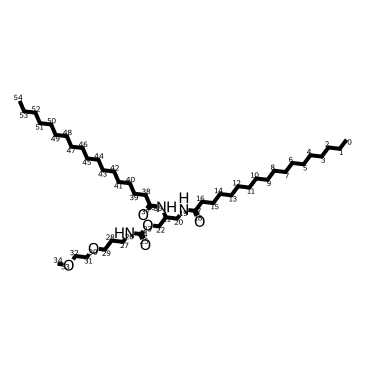 CCCCCCCCCCCCCCCCCC(=O)NCC(COC(=O)NCCCOCCOC)NC(=O)CCCCCCCCCCCCCCCCC